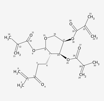 C=C(C)C(=O)CC[C@@H]1C(OC(=O)C(=C)C)OC[C@@H](OC(=O)C(=C)C)[C@H]1OC(=O)C(=C)C